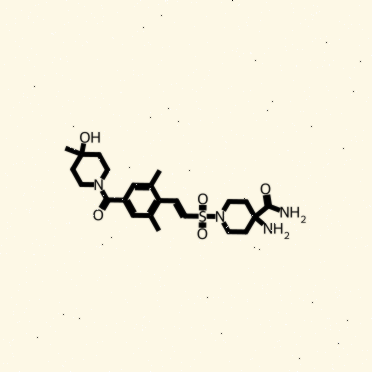 Cc1cc(C(=O)N2CCC(C)(O)CC2)cc(C)c1C=CS(=O)(=O)N1CCC(N)(C(N)=O)CC1